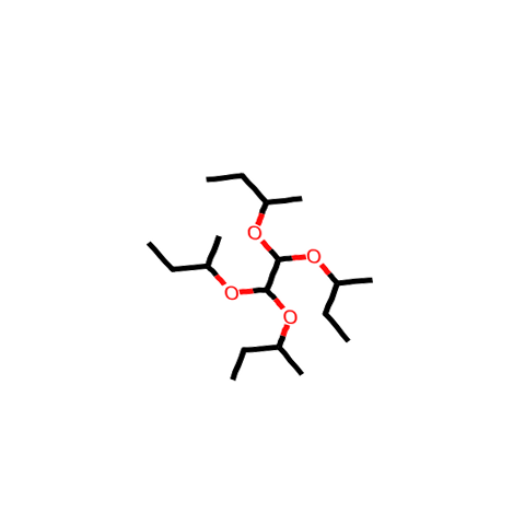 CCC(C)OC(OC(C)CC)C(OC(C)CC)OC(C)CC